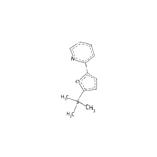 C[Si](C)(C)c1ccc(-c2ccccn2)o1